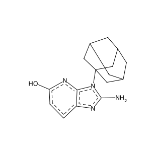 Nc1nc2ccc(O)nc2n1C12CC3CC(CC(C3)C1)C2